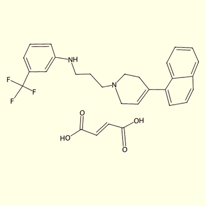 FC(F)(F)c1cccc(NCCCN2CC=C(c3cccc4ccccc34)CC2)c1.O=C(O)C=CC(=O)O